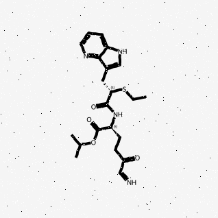 CCS[C@@H](Cc1c[nH]c2cccnc12)C(=O)N[C@@H](CCC(=O)C=N)C(=O)OC(C)C